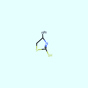 CCCC1CSC(S)=N1